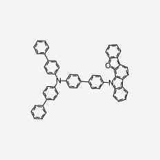 c1ccc(-c2ccc(N(c3ccc(-c4ccccc4)cc3)c3ccc(-c4ccc(-n5c6ccccc6c6ccc7c8ccccc8oc7c65)cc4)cc3)cc2)cc1